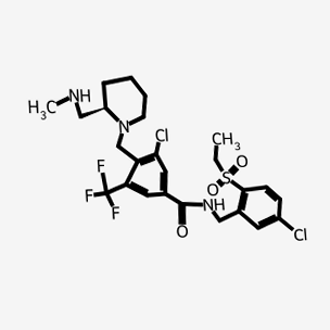 CCS(=O)(=O)c1ccc(Cl)cc1CNC(=O)c1cc(Cl)c(CN2CCCC[C@@H]2CNC)c(C(F)(F)F)c1